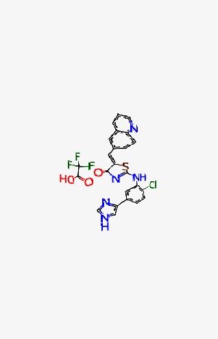 O=C(O)C(F)(F)F.O=C1N=C(Nc2cc(-c3c[nH]cn3)ccc2Cl)S/C1=C\c1ccc2ncccc2c1